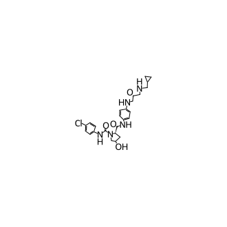 O=C(CNCC1CC1)CNc1ccc(NC(=O)[C@H]2C[C@@H](O)CN2C(=O)Nc2ccc(Cl)cc2)cc1